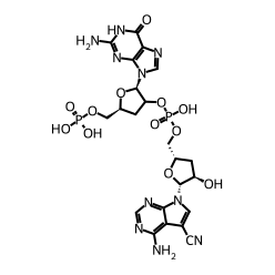 N#Cc1cn([C@@H]2O[C@H](COP(=O)(O)OC3C[C@@H](COP(=O)(O)O)O[C@H]3n3cnc4c(=O)[nH]c(N)nc43)C[C@H]2O)c2ncnc(N)c12